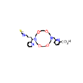 O=C(O)c1cccc(CN2CCOCCOCCN(C(CCCN=C=S)c3ccccn3)CCOCCOCC2)n1